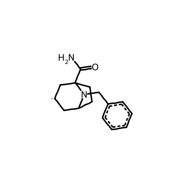 NC(=O)C12C[CH]CC(CC1)N2Cc1ccccc1